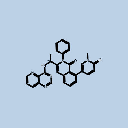 C[C@H](Nc1ncnc2cccnc12)c1cc2cccc(-c3ccc(=O)n(C)c3)c2c(=O)n1-c1ccccc1